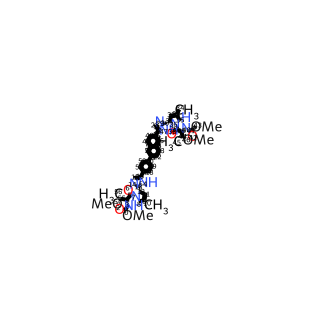 COC(=O)N[C@H](C(=O)N1CC(C)=C[C@H]1c1ncc(-c2ccc(-c3ccc4cc(-c5cnc([C@@H]6C=C(C)CN6C(=O)[C@@H](NC(=O)OC)[C@@H](C)OC)[nH]5)ccc4c3)cc2)[nH]1)[C@@H](C)OC